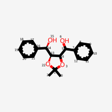 CC1(C)OC(C(O)c2ccccc2)[C@H]([C@H](O)c2ccccc2)O1